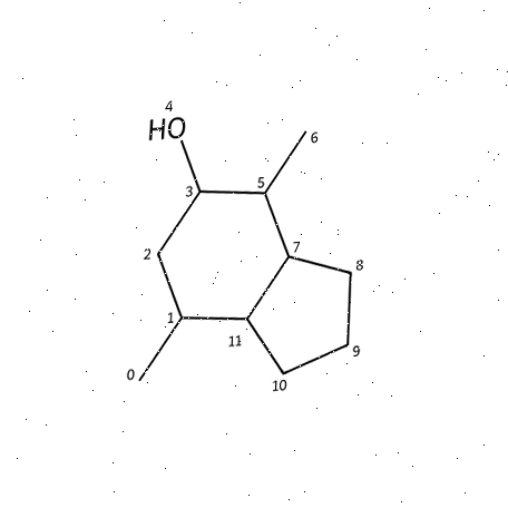 CC1CC(O)C(C)C2CCCC12